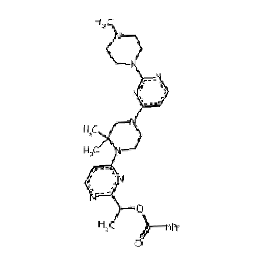 CCCC(=O)OC(C)c1nccc(N2CCN(c3ccnc(N4CCN(C)CC4)n3)CC2(C)C)n1